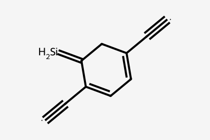 [C]#CC1=CC=C(C#[C])C(=[SiH2])C1